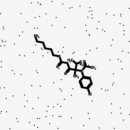 CCCCCCOC(=O)CC(=O)C(C)(C(C)C)N(C(C)=O)c1ccc(Cl)cc1